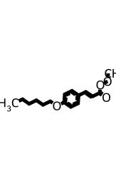 CCCCCCOc1ccc(/C=C/C(=O)OOC)cc1